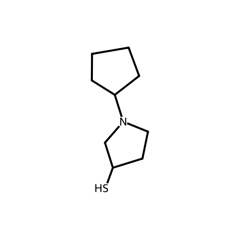 SC1CCN(C2CCCC2)C1